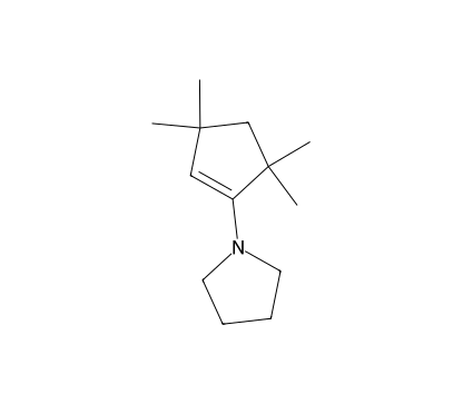 CC1(C)C=C(N2CCCC2)C(C)(C)C1